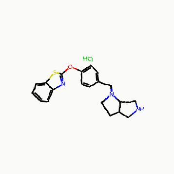 Cl.c1ccc2sc(Oc3ccc(CN4CCC5CNCC54)cc3)nc2c1